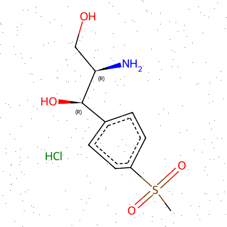 CS(=O)(=O)c1ccc([C@@H](O)[C@H](N)CO)cc1.Cl